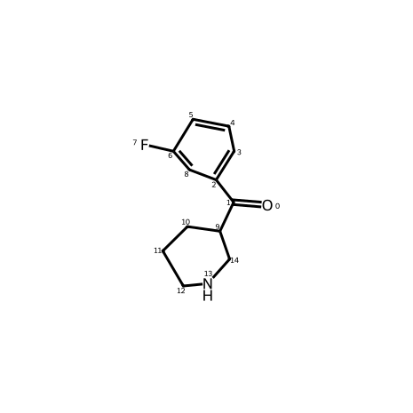 O=C(c1cccc(F)c1)C1CCCNC1